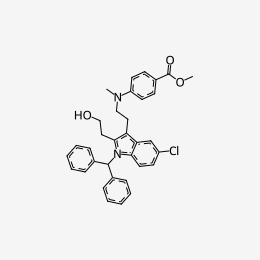 COC(=O)c1ccc(N(C)CCc2c(CCO)n(C(c3ccccc3)c3ccccc3)c3ccc(Cl)cc23)cc1